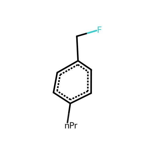 [CH2]CCc1ccc(CF)cc1